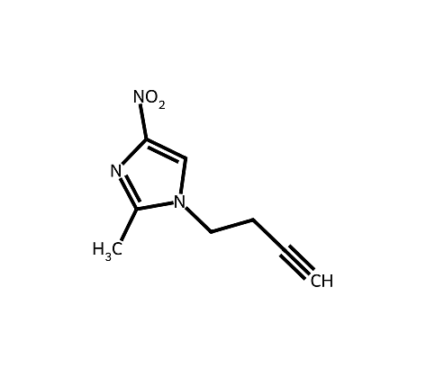 C#CCCn1cc([N+](=O)[O-])nc1C